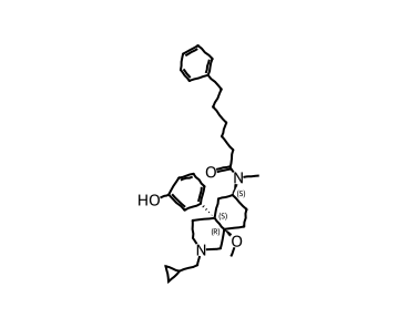 CO[C@]12CC[C@H](N(C)C(=O)CCCCCc3ccccc3)C[C@]1(c1cccc(O)c1)CCN(CC1CC1)C2